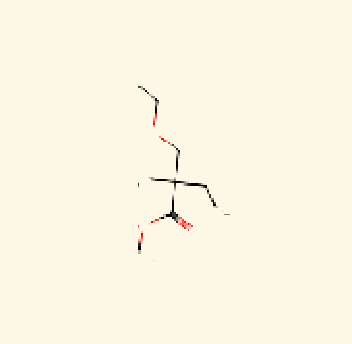 CCOCC(C)(CC)C(=O)OC